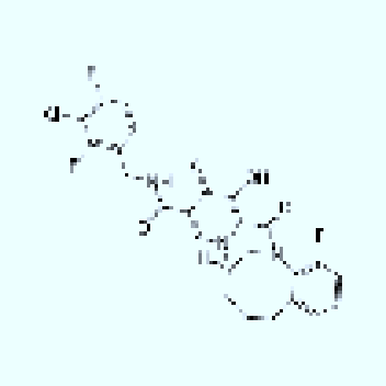 O=C(NCc1ccc(F)c(Cl)c1F)c1cn2c(c(O)c1=O)C(=O)N1C[C@@H]2CCCc2cccc(F)c21